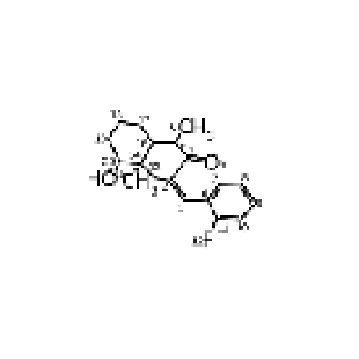 CC1C(=O)/C(=C\c2ccccc2F)C[C@@]2(C)C1CCC[C@@H]2O